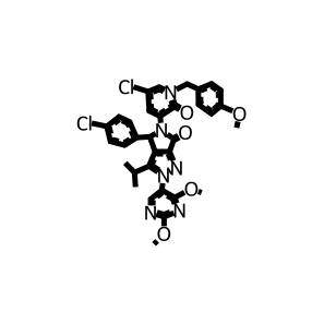 COc1ccc(Cn2cc(Cl)cc(N3C(=O)c4nn(-c5cnc(OC)nc5OC)c(C(C)C)c4C3c3ccc(Cl)cc3)c2=O)cc1